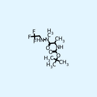 CC(NC(=O)OC(C)(C)C)C(=O)N(C)NCC(F)(F)F